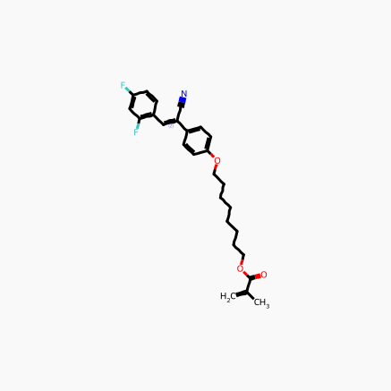 C=C(C)C(=O)OCCCCCCCCOc1ccc(/C(C#N)=C/c2ccc(F)cc2F)cc1